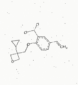 C=Cc1ccc(OCC2(C3CC3)COC2)c(C(Cl)Cl)c1